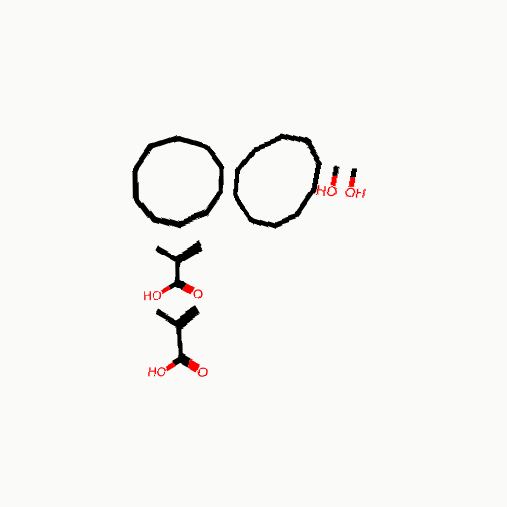 C1CCCCCCCCC1.C1CCCCCCCCC1.C=C(C)C(=O)O.C=C(C)C(=O)O.CO.CO